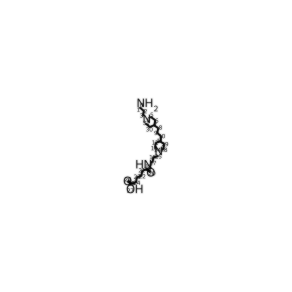 NCCCN1CCC(CCCC2CCN(CCCNC(=O)CCCCC(=O)O)CC2)CC1